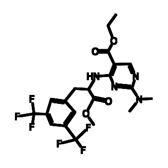 CCOC(=O)c1cnc(N(C)C)nc1NC(Cc1cc(C(F)(F)F)cc(C(F)(F)F)c1)C(=O)OC